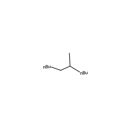 C[CH]CCC(C)CCCCC